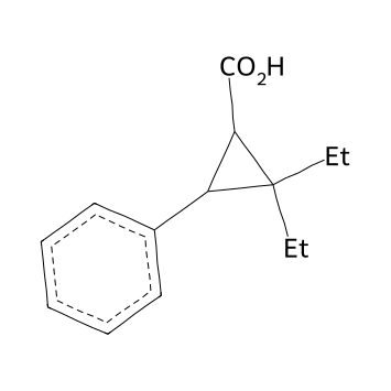 CCC1(CC)C(C(=O)O)C1c1ccccc1